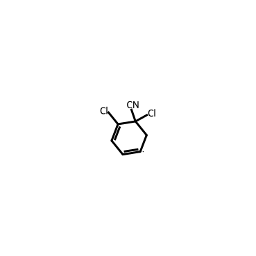 N#CC1(Cl)C[C]=CC=C1Cl